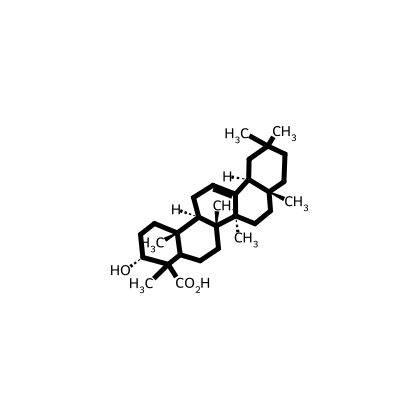 CC1(C)CC[C@]2(C)CC[C@]3(C)C(=CC[C@@H]4[C@@]5(C)CC[C@@H](O)C(C)(C(=O)O)C5CC[C@]43C)[C@H]2C1